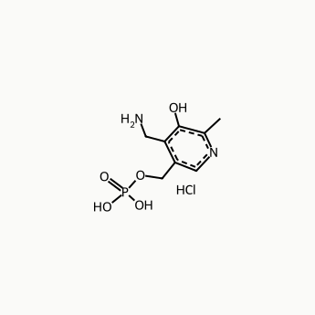 Cc1ncc(COP(=O)(O)O)c(CN)c1O.Cl